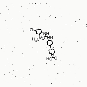 COc1cc(Cl)ccc1NC(=O)Nc1ccc(N2CCN(C(=O)O)CC2)cc1